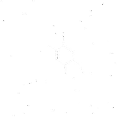 Cc1cc(OC(C)C)c(Cl)cc1F